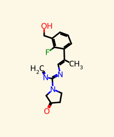 C=N/C(=N\C=C(/C)c1cccc(CO)c1F)N1CCC(=O)C1